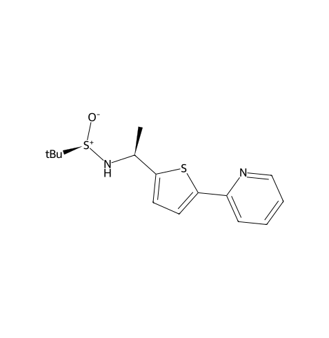 C[C@H](N[S@+]([O-])C(C)(C)C)c1ccc(-c2ccccn2)s1